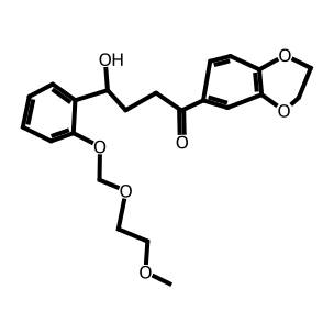 COCCOCOc1ccccc1C(O)CCC(=O)c1ccc2c(c1)OCCO2